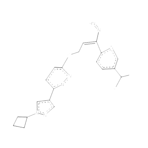 N=N/C(=C/COc1ccc(-c2cnn(C3CCC3)c2)nn1)c1ccc(C(F)F)cn1